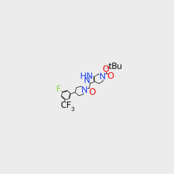 CC(C)(C)OC(=O)N1CCc2c(C(=O)N3CCC(c4cc(F)cc(C(F)(F)F)c4)CC3)n[nH]c2C1